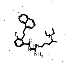 CCN(CC)C(C)CCCNC(N)=NC(=O)c1cccc(F)c1CCc1cccc2ccccc12